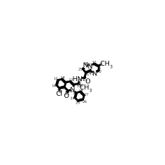 Cc1cnc2c(C(=O)N[C@@H](C)c3cc4cccc(Cl)c4c(=O)n3-c3ccccc3)cnn2c1